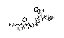 C[C@H](NC(=O)[C@@H](Cc1c[nH]c2ccccc12)NC(=O)[C@@H](N)Cc1c[nH]cn1)C(=O)N[C@H]1CC(=O)N([C@H](Cc2ccccc2)C(=O)N[C@@H](CCCCN)C(N)=O)C1